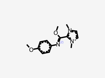 CO/C(=N\c1ccc(OC)cc1)c1n(C)cc[n+]1C